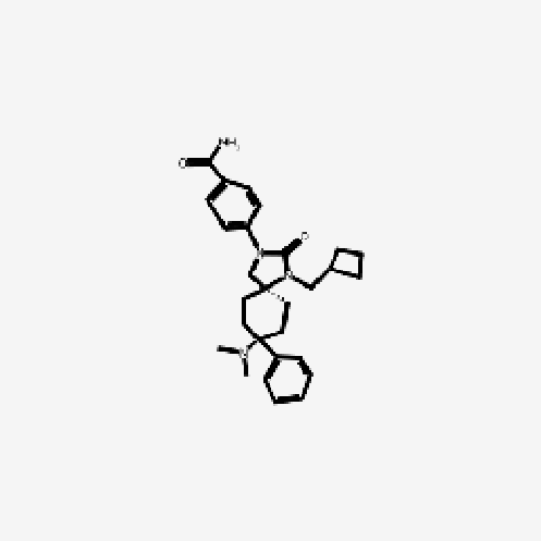 CN(C)[C@]1(c2ccccc2)CC[C@]2(CC1)CN(c1ccc(C(N)=O)cc1)C(=O)N2CC1CCC1